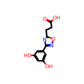 O=C(O)CCc1nc(-c2cc(O)cc(O)c2)no1